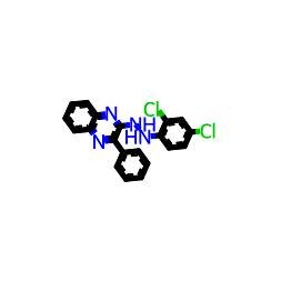 Clc1ccc(NNc2nc3ccccc3nc2-c2ccccc2)c(Cl)c1